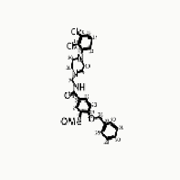 COc1cc(C(=O)NCN2CCN(c3cccc(Cl)c3Cl)CC2)ccc1OCc1ccccc1